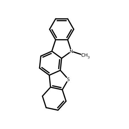 Cn1c2ccccc2c2ccc3c4c(sc3c21)C=CCC4